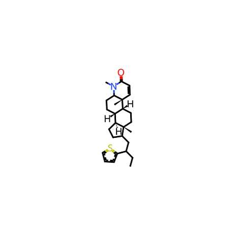 CCC(CC1CC[C@H]2[C@@H]3CCC4N(C)C(=O)C=C[C@]4(C)[C@@H]3CC[C@]12C)c1cccs1